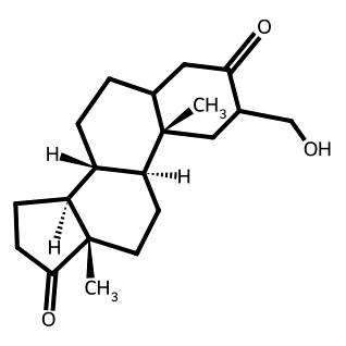 C[C@]12CC(CO)C(=O)CC1CC[C@@H]1[C@@H]2CC[C@]2(C)C(=O)CC[C@@H]12